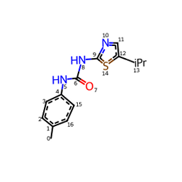 Cc1ccc(NC(=O)Nc2ncc(C(C)C)s2)cc1